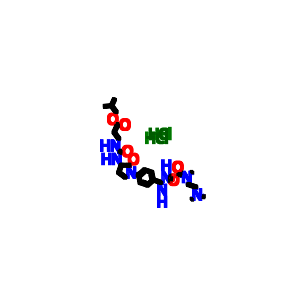 CC(C)COC(=O)CCNC(=O)N[C@H]1CCN(c2ccc(C(=N)NOC(=O)N(C)CCN(C)C)cc2)C1=O.Cl.Cl